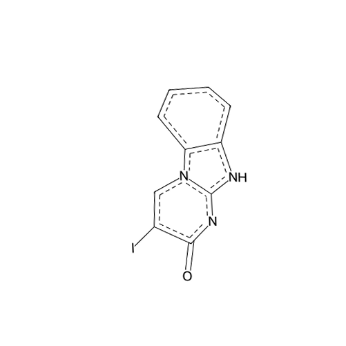 O=c1nc2[nH]c3ccccc3n2cc1I